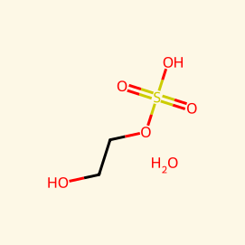 O.O=S(=O)(O)OCCO